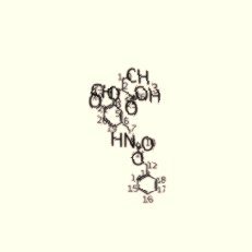 CCC(Oc1cc(CNC(=O)OCc2ccccc2)ccc1OC)C(=O)O